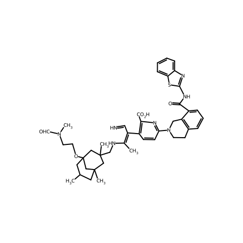 C/C(NCC1(C)CC2(C)CC(C)CC(OCCN(C)C=O)(C1)C2)=C(/C=N)c1ccc(N2CCc3cccc(C(=O)Nc4nc5ccccc5s4)c3C2)nc1C(=O)O